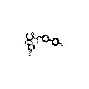 CCc1nc2c[n+]([O-])ccn2c1C(=O)NCc1ccc(-c2ccc(Cl)cc2)cc1